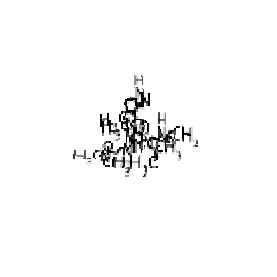 C=CC(=O)NCCN(C/C(C)=C\C)c1nc(NCCC(=O)N(C)C)nc2c1OCC(c1c(C)ccc3[nH]ncc13)N2C